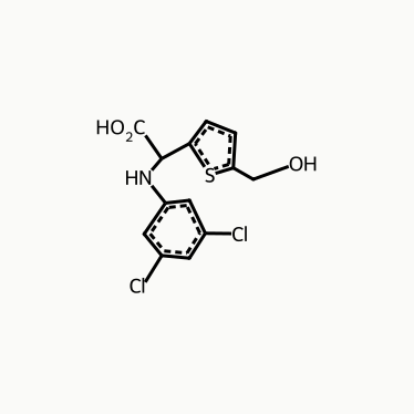 O=C(O)C(Nc1cc(Cl)cc(Cl)c1)c1ccc(CO)s1